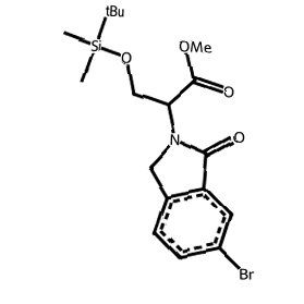 COC(=O)C(CO[Si](C)(C)C(C)(C)C)N1Cc2ccc(Br)cc2C1=O